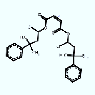 CC(C)(CC(Cl)OC(=O)/C=C\C(=O)OC(Cl)CC(C)(C)c1ccccc1)c1ccccc1